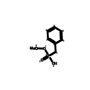 COOP(=O)(O)Cc1ccccc1